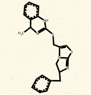 CC1N=C(SCC2=CSC3=NC(Cc4ccccc4)CN23)Nc2ccccc21